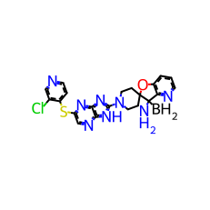 BC1(N)c2ncccc2OC12CCN(c1nc3nc(Sc4ccncc4Cl)cnc3[nH]1)CC2